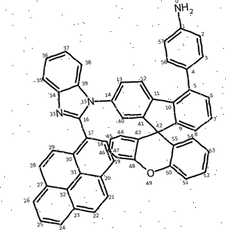 Nc1ccc(-c2cccc3c2-c2ccc(-n4c(-c5ccc6ccc7cccc8ccc5c6c78)nc5ccccc54)cc2C32c3ccccc3Oc3ccccc32)cc1